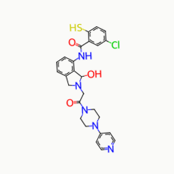 O=C(Nc1cccc2c1C(O)N(CC(=O)N1CCN(c3ccncc3)CC1)C2)c1cc(Cl)ccc1S